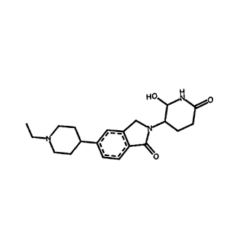 CCN1CCC(c2ccc3c(c2)CN(C2CCC(=O)NC2O)C3=O)CC1